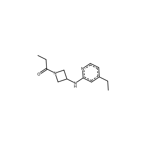 CCC(=O)N1CC(Nc2cc(CC)ccn2)C1